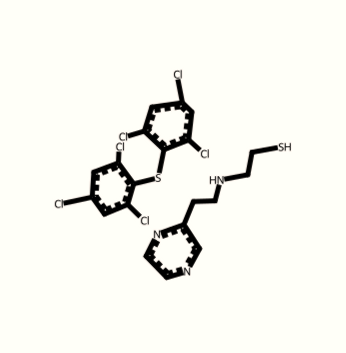 Clc1cc(Cl)c(Sc2c(Cl)cc(Cl)cc2Cl)c(Cl)c1.SCCNCCc1cnccn1